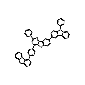 c1ccc(-c2nc(-c3ccc(-c4cccc5oc6ccccc6c45)cc3)c3oc4ccc(-c5ccc6c(c5)c5ccccc5n6-c5ccccc5)cc4c3n2)cc1